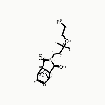 CC(C)CCOC(C)(C)CCN1C(=O)C2C3C=CC(O3)C2C1=O